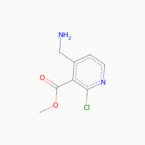 COC(=O)c1c(CN)ccnc1Cl